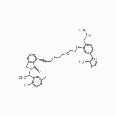 Cc1ncsc1-c1ccc(CNC=O)c(OCCOCCOCC#Cc2cccc3c2C(=O)N(C(C=O)c2cc(F)ccc2O)C3)c1